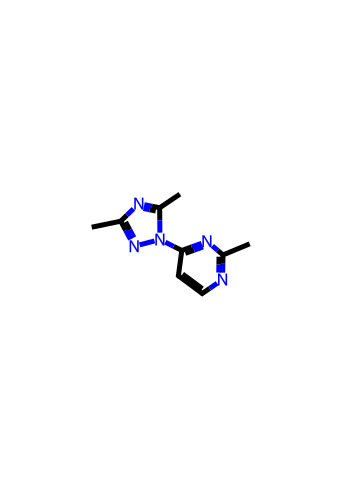 Cc1nccc(-n2nc(C)nc2C)n1